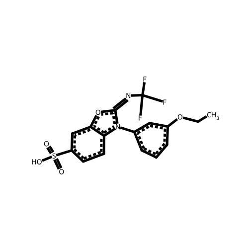 CCOc1cccc(-n2c(=NC(F)(F)F)oc3cc(S(=O)(=O)O)ccc32)c1